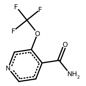 NC(=O)c1ccncc1OC(F)(F)F